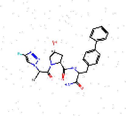 CC(C)C(C(=O)N1C[C@H](O)C[C@H]1C(=O)NC(Cc1ccc(-c2ccccc2)cc1)C(N)=O)n1cc(F)nn1